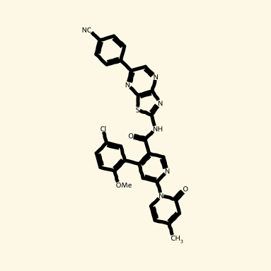 COc1ccc(Cl)cc1-c1cc(-n2ccc(C)cc2=O)ncc1C(=O)Nc1nc2ncc(-c3ccc(C#N)cc3)nc2s1